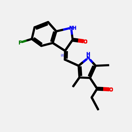 CCC(=O)c1c(C)[nH]c(/C=C2\C(=O)Nc3ccc(F)cc32)c1C